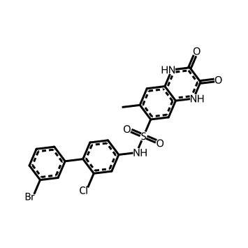 Cc1cc2[nH]c(=O)c(=O)[nH]c2cc1S(=O)(=O)Nc1ccc(-c2cccc(Br)c2)c(Cl)c1